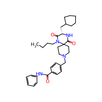 CCCCN1C(=O)[C@H](CC2CCCCC2)NC(=O)C12CCN(Cc1ccc(C(=O)Nc3ccccc3)cc1)CC2